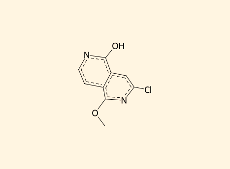 COc1nc(Cl)cc2c(O)nccc12